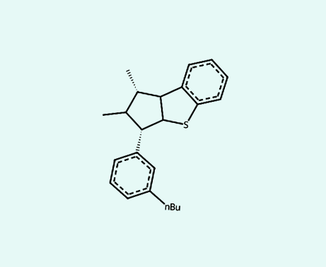 CCCCc1cccc([C@H]2C3Sc4ccccc4C3[C@@H](C)C2C)c1